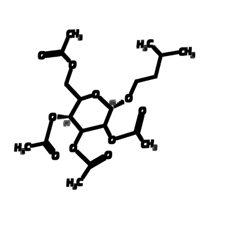 CC(=O)OCC1O[C@H](OCCC(C)C)C(OC(C)=O)C(OC(C)=O)[C@@H]1OC(C)=O